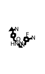 N#Cc1cc(Cn2ccc(NC(=O)Cc3ccc(C4(C#N)CC4)cc3)n2)ccc1F